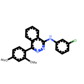 COc1ccc(-c2nnc(Nc3cccc(Cl)c3)c3ccccc23)c(OC)c1